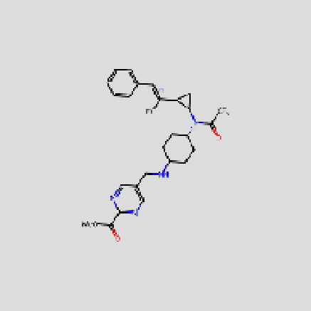 CC/C(=C\c1ccccc1)C1CC1N(C(=O)C(F)(F)F)[C@H]1CC[C@H](NCc2cnc(C(=O)OC)nc2)CC1